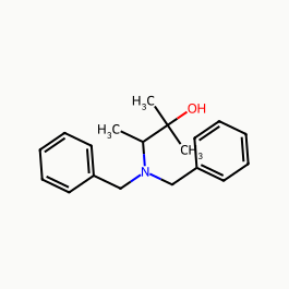 CC(N(Cc1ccccc1)Cc1ccccc1)C(C)(C)O